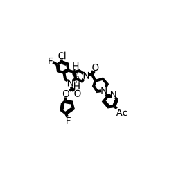 CC(=O)c1ccc(N2CCC(C(=O)N3C[C@@H]4[C@@H](C3)c3cc(Cl)c(F)cc3CN4C(=O)Oc3ccc(F)cc3)CC2)nc1